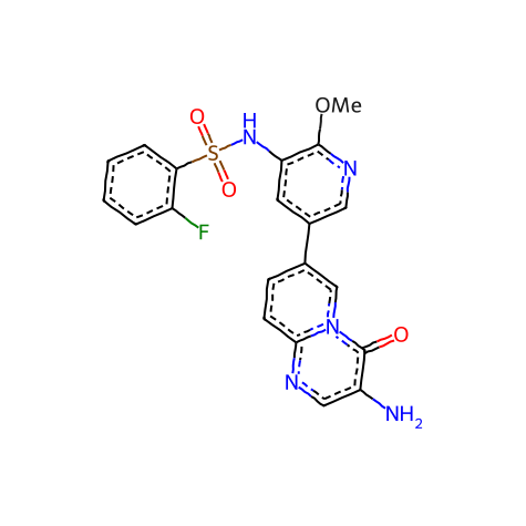 COc1ncc(-c2ccc3ncc(N)c(=O)n3c2)cc1NS(=O)(=O)c1ccccc1F